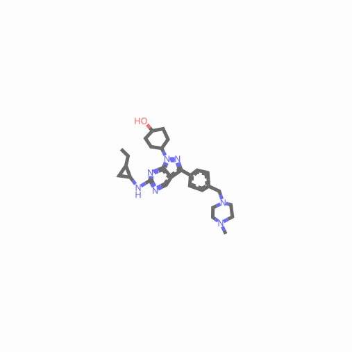 CCC1CC1Nc1ncc2c(-c3ccc(CN4CCN(C)CC4)cc3)nn(C3CCC(O)CC3)c2n1